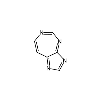 c1cc2ncnc-2ncn1